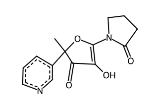 CC1(c2cccnc2)OC(N2CCCC2=O)=C(O)C1=O